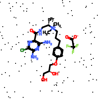 CCC[C@@H](CNC(=O)c1nc(Cl)c(N)nc1N)[N+](C)(C)CCCc1ccc(OC[C@H](O)CO)cc1.O=C([O-])C(F)(F)F